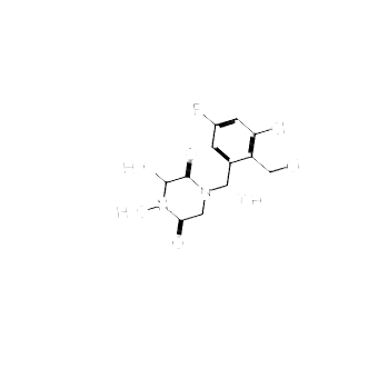 CC1C(=O)N([C@@H](C)c2cc(F)cc(Cl)c2CCl)CC(=O)N1C